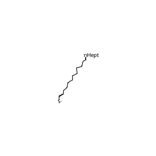 CCCCCCCCCCCCCCCCC/C=C/[S]